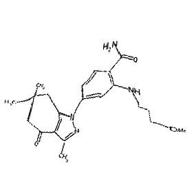 COCCCNc1cc(-n2nc(C)c3c2CC(C)(C)CC3=O)ccc1C(N)=O